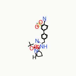 CC(C)(C)OC(=O)N1C[C@@H]2CCC[C@]1(C(=O)N[C@H](C#N)Cc1ccc(-c3ccc(C#N)c(S(C)(=O)=O)c3)cc1)C2